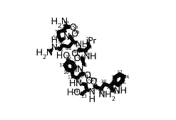 CC(C)CC(NC(=O)CNC(=O)C(Cc1ccc(O)cc1)NC(=O)C(CO)NC(=O)C(N)Cc1c[nH]c2ccccc12)C(=O)NC(CCCNN)C(=O)N1CCCC1C(N)=O